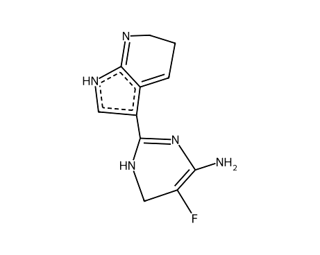 NC1=C(F)CNC(c2c[nH]c3c2=CCCN=3)=N1